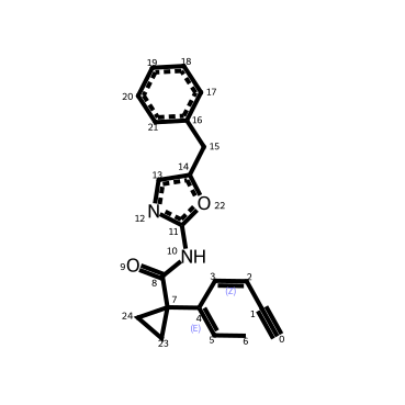 C#C/C=C\C(=C/C)C1(C(=O)Nc2ncc(Cc3ccccc3)o2)CC1